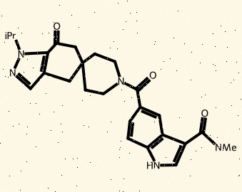 CNC(=O)c1c[nH]c2ccc(C(=O)N3CCC4(CC3)CC(=O)c3c(cnn3C(C)C)C4)cc12